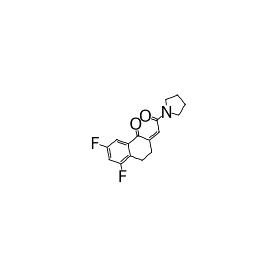 O=C1/C(=C\C(=O)N2CCCC2)CCc2c(F)cc(F)cc21